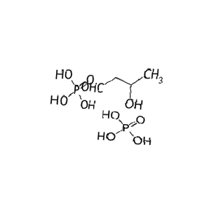 CC(O)CC=O.O=P(O)(O)O.O=P(O)(O)O